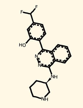 Oc1cc(C(F)F)ccc1-c1nnc(N[C@@H]2CCCNC2)c2ccccc12